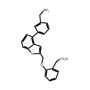 CCOC(=O)Cc1ccccc1OCc1cc2c(-c3cccc(CN)c3)cccc2o1